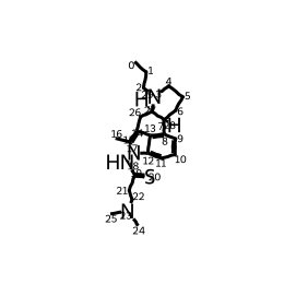 CCCN1CCC[C@@H]2c3cccc4c3c(c(C)n4NC(=S)CCN(C)C)C[C@H]21